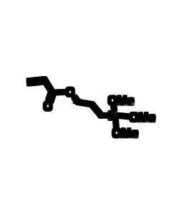 C=CC(=O)O[CH]CC[Si](OC)(OC)OC